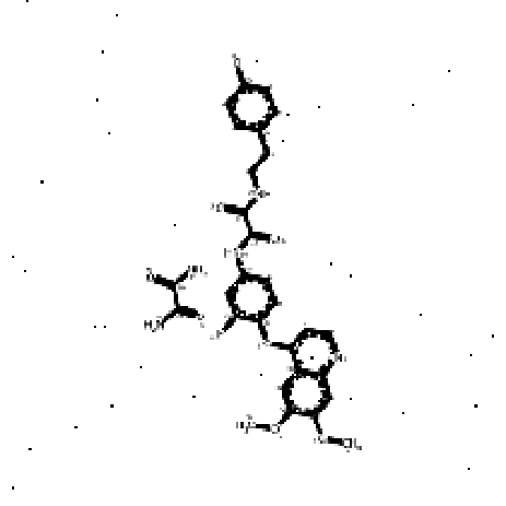 COc1cc2nccc(Oc3ccc(NC(=O)C(=O)NCCc4ccc(Cl)cc4)cc3F)c2cc1OC.NC(=O)C(N)=O